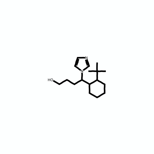 CC(C)(C)C1CCCCC1C(CCCO)n1ccnc1